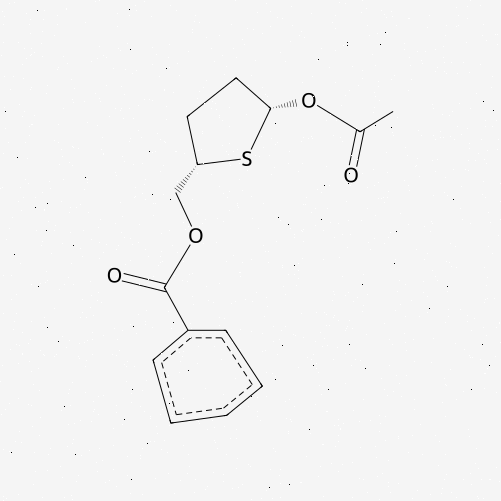 CC(=O)O[C@H]1CC[C@@H](COC(=O)c2ccccc2)S1